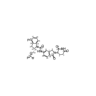 O=C1CCC(N2Cc3cc(NC(=O)N4c5cccc(F)c5C[C@H]4COC(F)F)ccc3C2=O)C(=O)N1